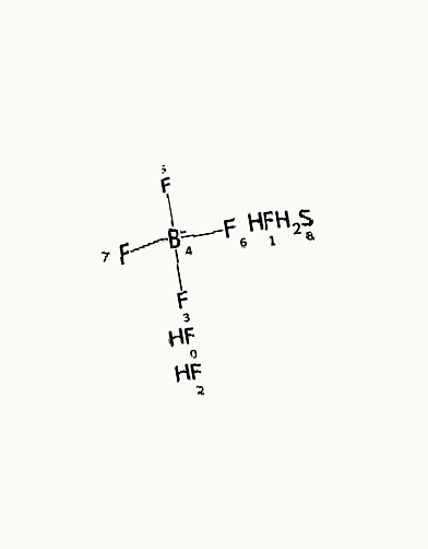 F.F.F.F[B-](F)(F)F.S